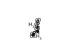 Cc1c(C2CN(Cc3cnn(-c4ccc5oc(=O)n(C)c5c4)c3)C(=O)O2)ccc2c1COC2=O